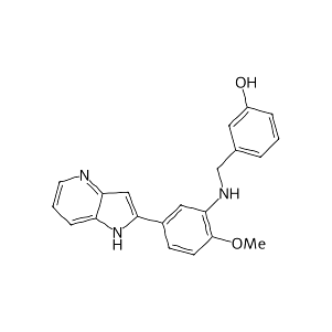 COc1ccc(-c2cc3ncccc3[nH]2)cc1NCc1cccc(O)c1